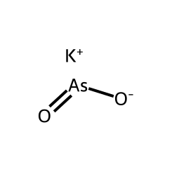 O=[As][O-].[K+]